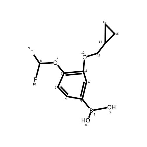 OB(O)c1ccc(OC(F)F)c(OCC2CC2)c1